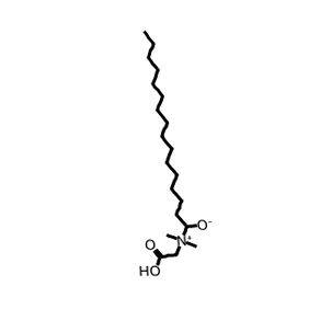 CCCCCCCCCCCCCCCC([O-])[N+](C)(C)CC(=O)O